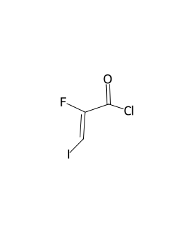 O=C(Cl)C(F)=CI